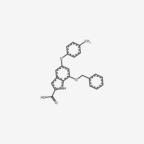 Cc1ccc(Oc2cc(OCc3ccccc3)c3[nH]c(C(=O)O)cc3c2)cc1